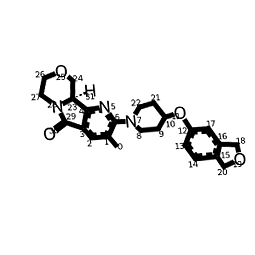 Cc1cc2c(nc1N1CCC(Oc3ccc4c(c3)COC4)CC1)[C@@H]1COCCN1C2=O